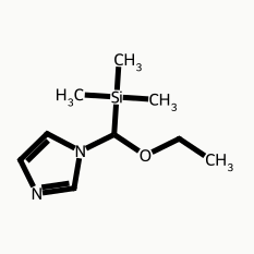 CCOC(n1ccnc1)[Si](C)(C)C